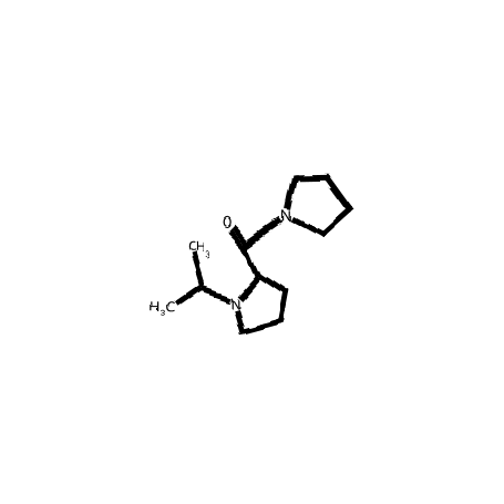 CC(C)N1CCCC1C(=O)N1CCCC1